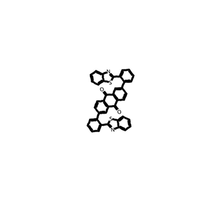 O=C1c2ccc(-c3ccccc3-c3nc4ccccc4s3)cc2C(=O)c2ccc(-c3ccccc3-c3nc4ccccc4s3)cc21